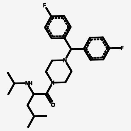 CC(C)CC(NC(C)C)C(=O)N1CCN(C(c2ccc(F)cc2)c2ccc(F)cc2)CC1